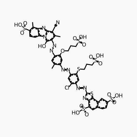 Cc1cc(N=Nc2c(C)c(C#N)c3nc4c(C)c(S(=O)(=O)O)ccc4n3c2O)c(OCCCS(=O)(=O)O)cc1N=Nc1cc(Cl)c(N=Nc2nc3c(S(=O)(=O)O)cc4ccc(S(=O)(=O)O)cc4c3s2)cc1SCCCS(=O)(=O)O